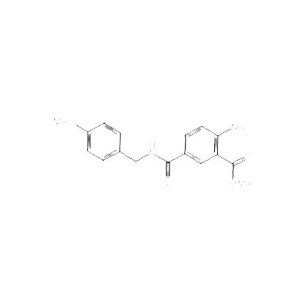 COC(=O)c1cc(C(=O)NCc2ccc(OC)cc2)ccc1N